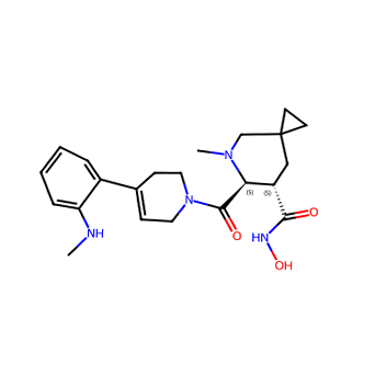 CNc1ccccc1C1=CCN(C(=O)[C@@H]2[C@@H](C(=O)NO)CC3(CC3)CN2C)CC1